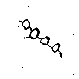 C=CC1CCC(C2CCC(C3=CCC(C4CCC(C)CC4)C(F)=C3)CC2)CC1